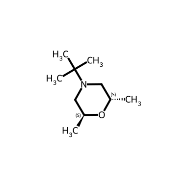 C[C@H]1CN(C(C)(C)C)C[C@H](C)O1